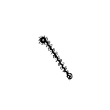 COCCCCCCCCCCCCCCCCCCc1ccccc1